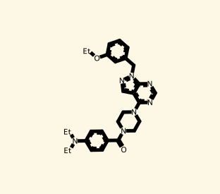 CCOc1cccc(Cn2ncc3c(N4CCN(C(=O)c5ccc(N(CC)CC)cc5)CC4)ncnc32)c1